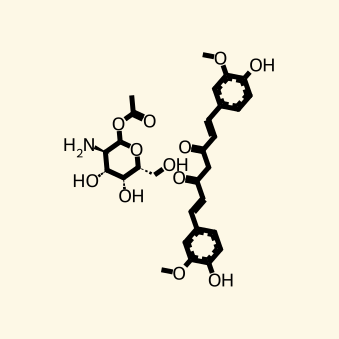 CC(=O)OC1O[C@H](CO)[C@H](O)[C@H](O)[C@H]1N.COc1cc(/C=C/C(=O)CC(=O)/C=C/c2ccc(O)c(OC)c2)ccc1O